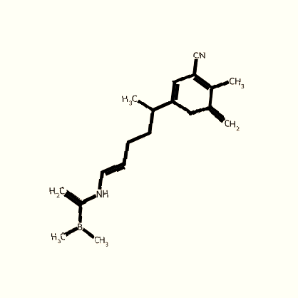 C=C(N/C=C/CCC(C)C1=CC(C#N)=C(C)C(=C)C1)B(C)C